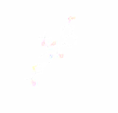 CC(=O)c1cc(CN(C(=O)CC2CCCc3cc(O)ccc32)[C@H](C)C(=O)OC(C)(C)C)cs1